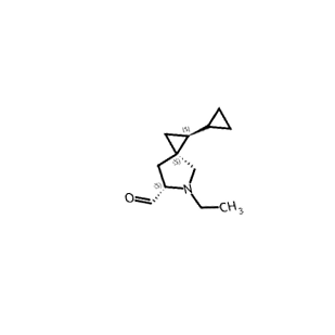 CCN1C[C@]2(C[C@H]1C=O)C[C@H]2C1CC1